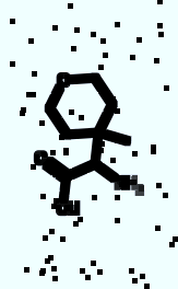 CC1(C(N)C(=O)O)CCOCC1